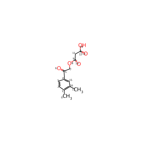 Cc1ccc(C(=O)COC(=O)CC(=O)O)cc1C